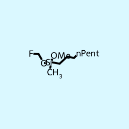 CCCCCCCC[Si](C)(OC)OCF